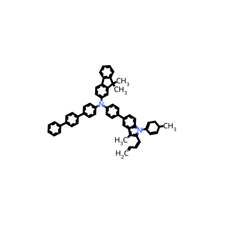 C=C/C=C\c1c(C)c2cc(-c3ccc(N(c4ccc(-c5ccc(-c6ccccc6)cc5)cc4)c4ccc5c(c4)C(C)(C)c4ccccc4-5)cc3)ccc2n1C1=CCC(C)C=C1